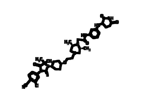 C[C@@H]1CN(CCO[C@H]2CC[C@H](N3C(=S)N(c4ccc(C#N)c(Cl)c4)C(=O)C3(C)C)CC2)C[C@H](C)N1CC(=O)Nc1cccc(NC2CCC(=O)NC2=O)c1